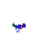 COc1nc(N[C@H]2CCN(C3CC(F)(F)C3)C[C@H]2F)nn2ccc(-c3ccc4nnn(C(C)C)c4c3)c12